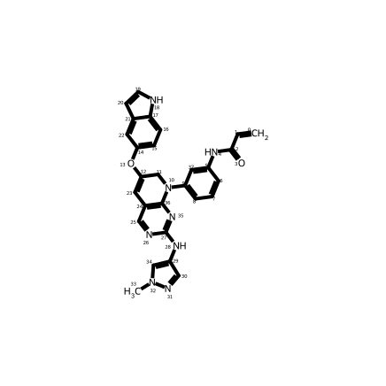 C=CC(=O)Nc1cccc(N2CC(Oc3ccc4[nH]ccc4c3)=Cc3cnc(Nc4cnn(C)c4)nc32)c1